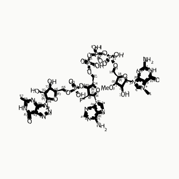 CO[C@@H]1C(O)[C@H](n2c[n+](C)c3c(=O)[nH]c(N)nc32)O[C@@H]1COP(=O)(O)OP(=O)(O)OP(=O)(O)OC[C@H]1O[C@@H](n2cnc3c(N)ncnc32)[C@@H](F)C1OP(=O)(O)OC[C@H]1O[C@@H](n2nnc3c(=O)[nH]c(C)nc32)[C@@H](O)C1O